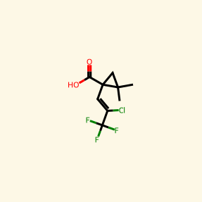 CC1(C)CC1(/C=C(\Cl)C(F)(F)F)C(=O)O